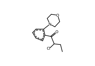 CCC(Cl)C(=O)c1ccccc1N1CCOCC1